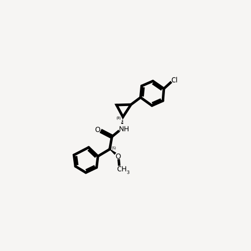 CO[C@H](C(=O)N[C@@H]1CC1c1ccc(Cl)cc1)c1ccccc1